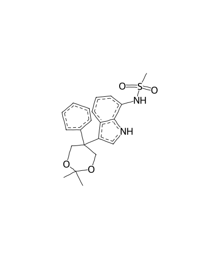 CC1(C)OCC(c2ccccc2)(c2c[nH]c3c(NS(C)(=O)=O)cccc23)CO1